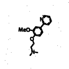 COc1cc(-c2ccc[c]n2)ccc1OCCN(C)C